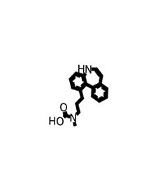 CN(CCCc1cccc2c1-c1ccccc1C=CN2)C(=O)O